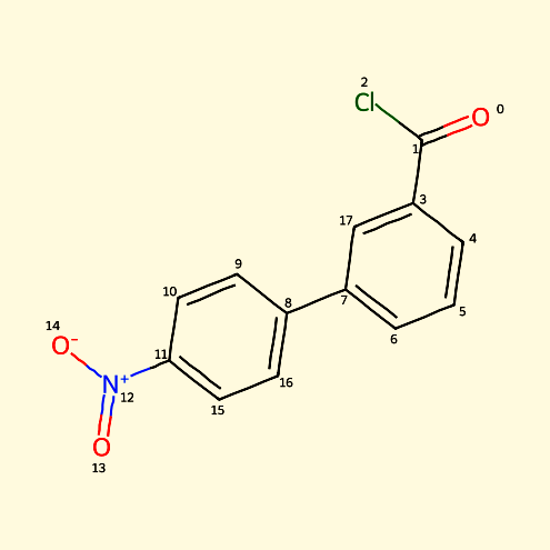 O=C(Cl)c1cccc(-c2ccc([N+](=O)[O-])cc2)c1